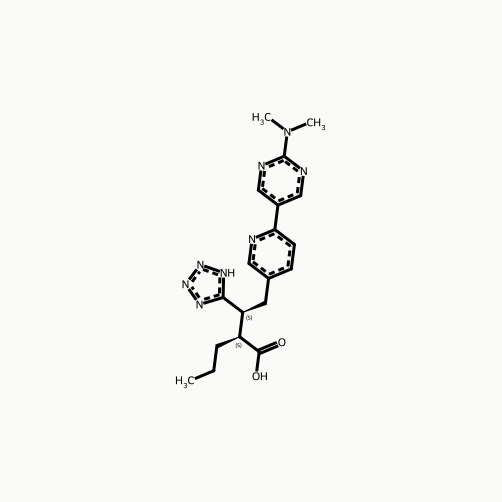 CCC[C@H](C(=O)O)[C@H](Cc1ccc(-c2cnc(N(C)C)nc2)nc1)c1nnn[nH]1